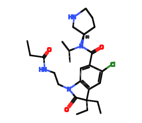 CCC(=O)NCCN1C(=O)C(CC)(CC)c2cc(Cl)c(C(=O)N(C(C)C)[C@@H]3CCCNC3)cc21